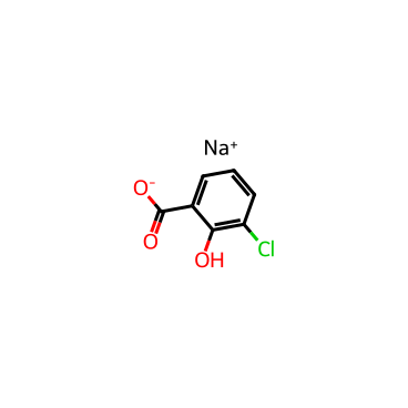 O=C([O-])c1cccc(Cl)c1O.[Na+]